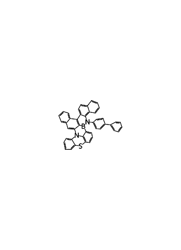 c1ccc(-c2ccc(N3B4c5cccc6c5N(c5ccccc5S6)c5cc6ccccc6c(c54)-c4ccc5ccccc5c43)cc2)cc1